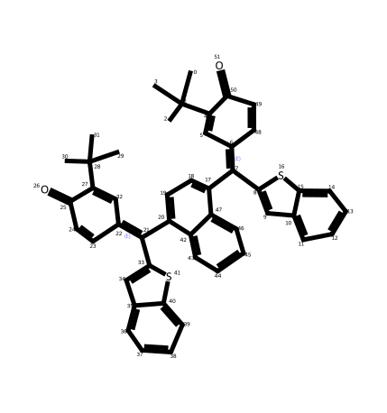 CC(C)(C)C1=C/C(=C(/c2cc3ccccc3s2)c2ccc(/C(=C3/C=CC(=O)C(C(C)(C)C)=C3)c3cc4ccccc4s3)c3ccccc23)C=CC1=O